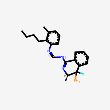 CCCCc1c(C)cccc1/N=C\NC1=N[C@H](C)C(F)(P)c2ccccc21